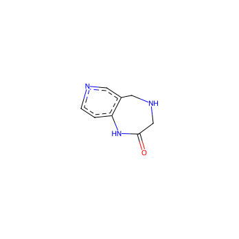 O=C1CNCc2cnccc2N1